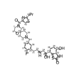 CC(C)c1nc(C(=O)N2CCOC3(CCN(Cc4ccc(F)c(CCNC[C@H](O)c5ccc(O)c6[nH]c(=O)sc56)c4)CC3)C2)cs1